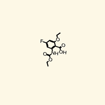 CCOC(=O)Nc1cc(F)cc(OCC)c1C(=O)O